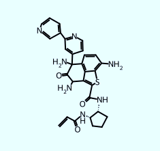 C=CC(=O)N[C@H]1CCC[C@H]1NC(=O)c1sc2c(N)ccc3c2c1C(N)C(=O)C3(N)c1ccnc(-c2cccnc2)c1